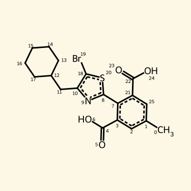 Cc1cc(C(=O)O)c(-c2nc(CC3CCCCC3)c(Br)s2)c(C(=O)O)c1